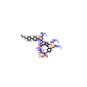 CCCCc1ccc(-c2ccc(C(=O)N[C@@H](CCCN)C(=O)N(C)[C@@H]3C(=O)N[C@@H](C)C(=O)N[C@H](C(=O)O)Cc4ccc(OCCN)c(c4)-c4cc3ccc4OCCN)cc2)cc1